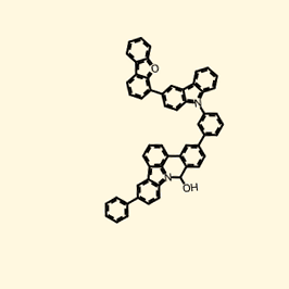 OC1c2ccc(-c3cccc(-n4c5ccccc5c5cc(-c6cccc7c6oc6ccccc67)ccc54)c3)cc2-c2cccc3c4cc(-c5ccccc5)ccc4n1c23